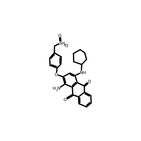 Nc1c(Oc2ccc(C[SH](=O)=O)cc2)cc(NC2CCCCC2)c2c1C(=O)c1ccccc1C2=O